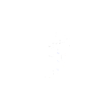 CC(=O)SC1CN(c2nc(C(=O)N(C)C(C)O[Si](c3ccccc3)(c3ccccc3)C(C)(C)C)cs2)C1